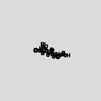 Cc1c(NC(=O)c2cccc(OCC(=O)O)c2)c2ccccn2c1C(=O)c1ccc(NC(=O)C(F)(F)F)c(C(=O)OOCc2ccccc2)c1